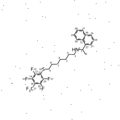 CC(NCCCCCCCSc1c(F)c(F)c(C(F)(F)F)c(F)c1F)c1cccc2ccccc12